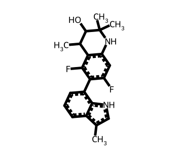 Cc1c[nH]c2c(-c3c(F)cc4c(c3F)C(C)C(O)C(C)(C)N4)cccc12